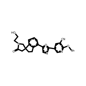 CC(C)Oc1ncc(-c2ncc(-c3cccc4c3CCC43CC(=O)N(CCO)C3)o2)cc1C#N